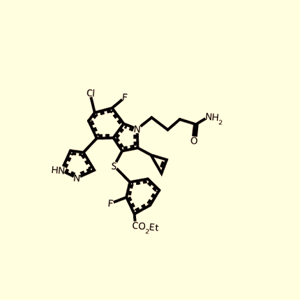 CCOC(=O)c1cccc(Sc2c(C3C=C3)n(CCCC(N)=O)c3c(F)c(Cl)cc(-c4cn[nH]c4)c23)c1F